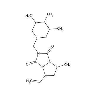 C=CC1CC(C)C2C(=O)N(CC3CC(C)C(C)C(C)C3)C(=O)C12